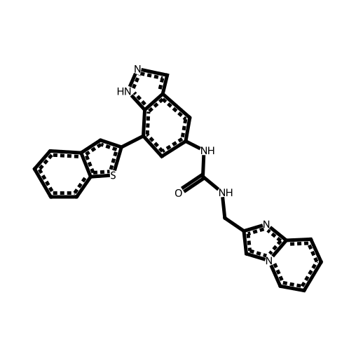 O=C(NCc1cn2ccccc2n1)Nc1cc(-c2cc3ccccc3s2)c2[nH]ncc2c1